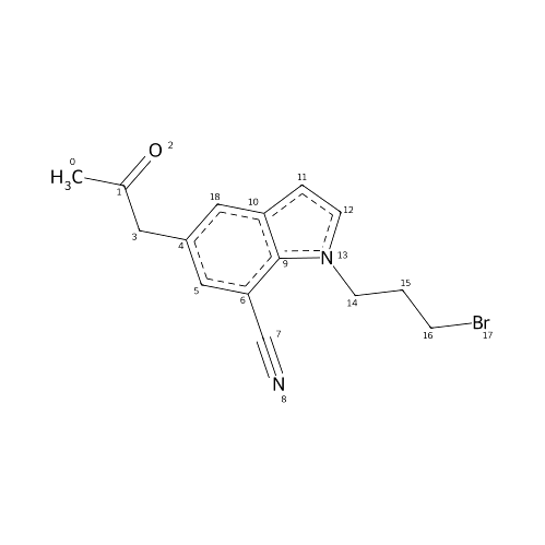 CC(=O)Cc1cc(C#N)c2c(ccn2CCCBr)c1